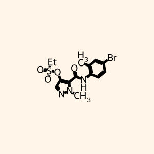 CCS(=O)(=O)Oc1cnn(C)c1C(=O)Nc1ccc(Br)cc1C